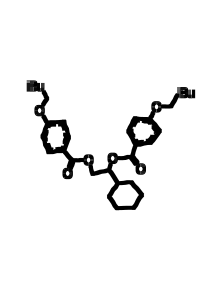 CCC(C)COc1ccc(C(=O)OCC(OC(=O)c2ccc(OCC(C)CC)cc2)C2CCCCC2)cc1